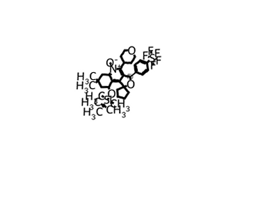 CC1(C)Cc2c(c3c(c(C4CCOCC4)[n+]2[O-])[C@@H](c2ccc(S(F)(F)(F)(F)F)cc2)OC32CCCC2)C(O[Si](C)(C)C(C)(C)C)C1